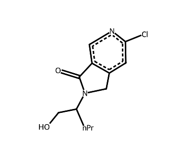 CCCC(CO)N1Cc2cc(Cl)ncc2C1=O